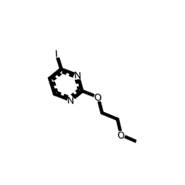 COCCOc1nccc(I)n1